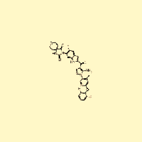 Cc1cc(Oc2c(F)cccc2F)ncc1-n1ncc(C(=O)c2cc3cc(F)c(N4C(=O)NC5(CCOCC5)C4=O)cc3[nH]2)c1N